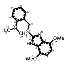 COc1ccc(OC)c2[nH]c(SCc3ccccc3N(C)C)nc12